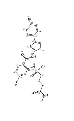 CNC(=O)CCCS(=O)(=O)Nc1cc(F)ccc1C(=O)Nc1nc(-c2ccc(Br)cc2)cs1